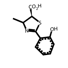 CC1N=C(c2ccccc2O)S[C@@H]1C(=O)O